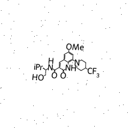 COc1cc(N2CCC(C(F)(F)F)CC2)c2[nH]c(=O)c(C(=O)N[C@@H](CO)C(C)C)cc2c1